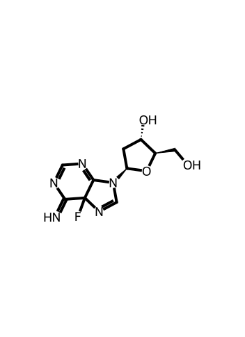 N=C1N=CN=C2N([C@H]3C[C@H](O)[C@@H](CO)O3)C=NC12F